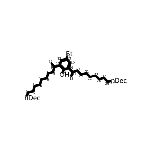 CCCCCCCCCCCCCCCCCCC(C)c1cc(CC)cc(C(C)CCCCCCCCCCCCCCCCCC)c1O